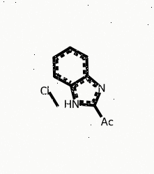 CC(=O)c1nc2ccccc2[nH]1.CCl